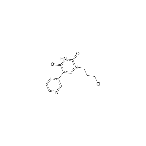 O=c1[nH]c(=O)n(CCCCl)cc1-c1cccnc1